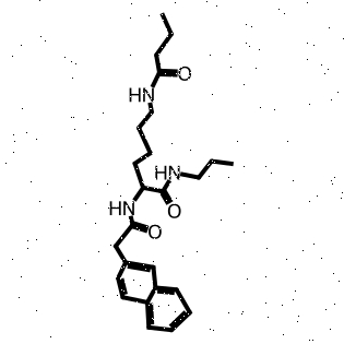 CCCNC(=O)C(CCCCNC(=O)CCC)NC(=O)Cc1ccc2ccccc2c1